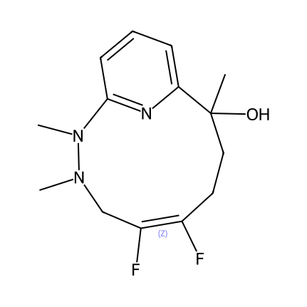 CN1C/C(F)=C(/F)CCC(C)(O)c2cccc(n2)N1C